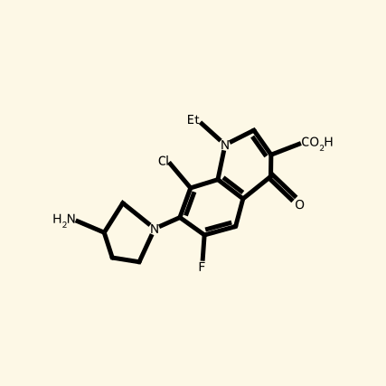 CCn1cc(C(=O)O)c(=O)c2cc(F)c(N3CCC(N)C3)c(Cl)c21